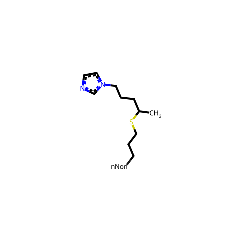 CCCCCCCCCCCCSC(C)CCCn1ccnc1